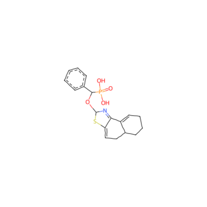 O=P(O)(O)C(OC1N=C2C(=CCC3CCCC=C23)S1)c1ccccc1